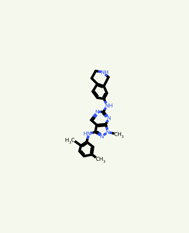 Cc1ccc(C)c(Nc2nn(C)c3nc(Nc4ccc5c(c4)CNCC5)ncc23)c1